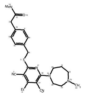 CCc1c(C#N)c(SCc2ccc(CC(=O)NC)cc2)nc(N2CCCN(C)CC2)c1C#N